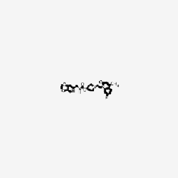 Cc1cc(=O)n(CCN2CCC(OC(=O)NCc3cc4c(cn3)OCCO4)CC2)c2cc(F)ccc12